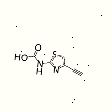 C#Cc1csc(NC(=O)O)n1